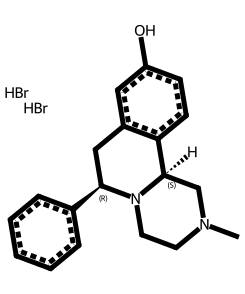 Br.Br.CN1CCN2[C@@H](c3ccccc3)Cc3cc(O)ccc3[C@H]2C1